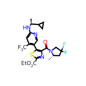 CCOC(=O)c1nc(C(=O)N2CC(F)(F)C[C@@H]2C)c(-c2cnc(N[C@@H](C)C3CC3)cc2C(F)(F)F)s1